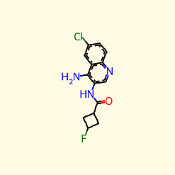 Nc1c(NC(=O)C2CC(F)C2)cnc2ccc(Cl)cc12